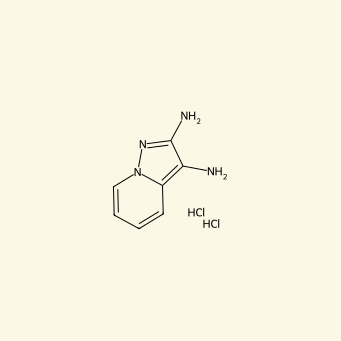 Cl.Cl.Nc1nn2ccccc2c1N